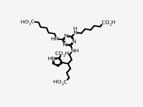 O=C(O)CCCCCNc1nc(NCCCCCC(=O)O)nc(NCCC(CCCC(=O)O)c2cc[nH]c2C(=O)O)n1